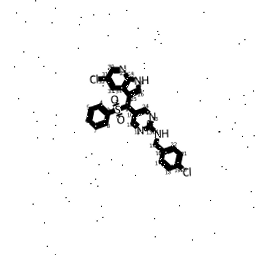 O=S(=O)(c1ccccc1)C(c1cnc(NCc2ccc(Cl)cc2)nc1)c1c[nH]c2ncc(Cl)cc12